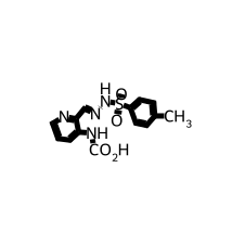 Cc1ccc(S(=O)(=O)NN=Cc2ncccc2NC(=O)O)cc1